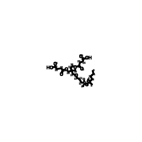 CCCC[Si](C)(C)O[Si](C)(C)CCCOCC(CC)(COC(=O)CCC(=O)O)COC(=O)CCC(=O)O